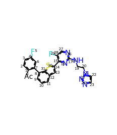 CC(=O)c1ccc(F)cc1-c1cccc2cc(-c3nc(NCCn4ccnn4)ncc3F)sc12